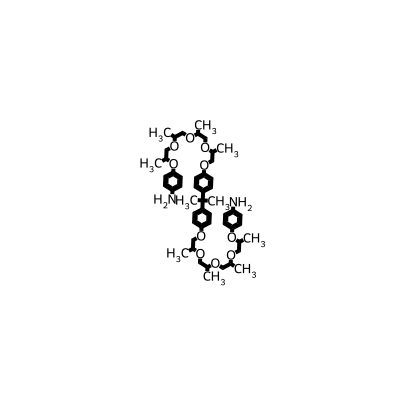 CC(COc1ccc(C(C)(C)c2ccc(OCC(C)OCC(C)OCC(C)OCC(C)Oc3ccc(N)cc3)cc2)cc1)OCC(C)OCC(C)OCC(C)Oc1ccc(N)cc1